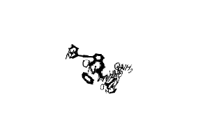 C[C@H](NC(=O)c1c(NS(N)(=O)=O)nn2cccnc12)c1cc2cccc(C#Cc3cnn4c3CCC4)c2c(=O)n1-c1ccccc1